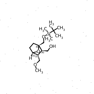 COC[C@H]1[C@@H]2CC[C@@](CO[Si](C)(C)C(C)(C)C)(O2)[C@H]1CO